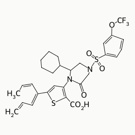 C=C/C=C(\C=C/C)c1cc(N2C(=O)CN(S(=O)(=O)c3cccc(OC(F)(F)F)c3)CC2C2CCCCC2)c(C(=O)O)s1